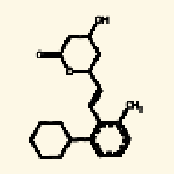 Cc1cccc(C2CCCCC2)c1/C=C/C1CC(O)CC(=O)O1